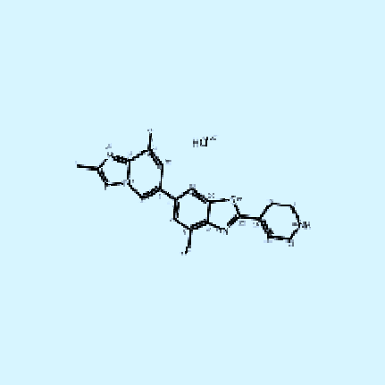 Cc1cn2cc(-c3cc(F)c4nc(C5=CCNCC5)sc4c3)cc(C)c2n1.Cl